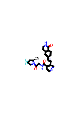 N#C[C@@H]1CC(F)(F)CN1C(=O)CNC(=O)c1ccncc1/C=C/c1ccc2c(c1)CCNC2=O